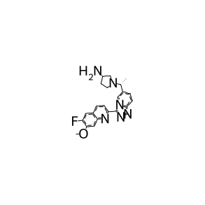 COc1cc2nc(-c3nnc4ccc([C@@H](C)N5CC[C@H](N)C5)cn34)ccc2cc1F